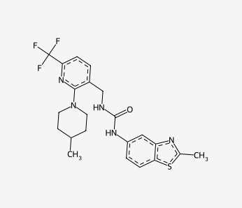 Cc1nc2cc(NC(=O)NCc3ccc(C(F)(F)F)nc3N3CCC(C)CC3)ccc2s1